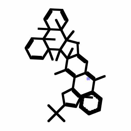 CC1=C(C2=C(C)C3(C)C(=C/C2=C(\C)c2ccccc2)[C]C2(C)C4(C)C=CC=CC4(C)C4(C)C=CC=CC4(C)C32C)CC(C(C)(C)C)=C1